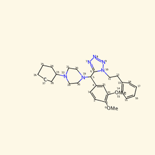 COc1ccc(C(c2nnnn2CCc2ccccc2)N2CCN(C3CCCCC3)CC2)cc1OC